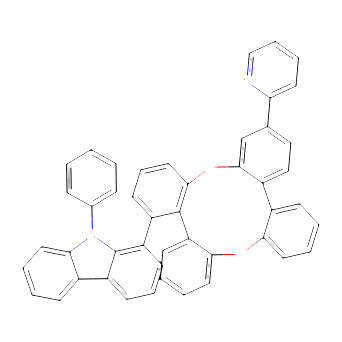 c1ccc(-n2c3ccccc3c3cccc(-c4cccc5c4-c4ccccc4Oc4ccccc4-c4ccc(-c6ccccn6)cc4O5)c32)cc1